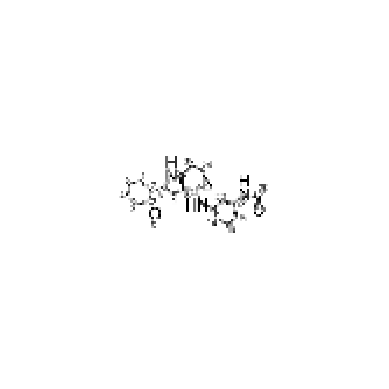 COc1ccccc1-c1cc2c(Nc3cccc(NC(C)=O)c3)nccc2[nH]1